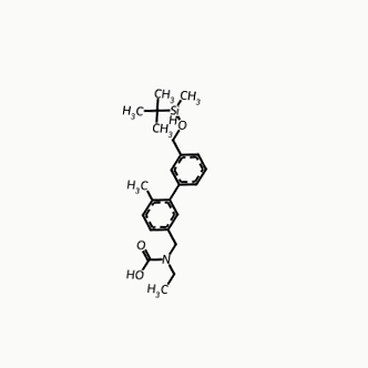 CCN(Cc1ccc(C)c(-c2cccc(CO[SiH](C)C(C)(C)C)c2)c1)C(=O)O